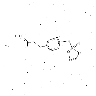 CCOP(=O)(OCC)Oc1ccc(CCNC(=O)O)cc1